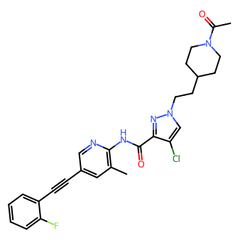 CC(=O)N1CCC(CCn2cc(Cl)c(C(=O)Nc3ncc(C#Cc4ccccc4F)cc3C)n2)CC1